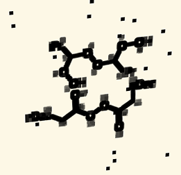 CC(C)C(OO)OOC(OO)C(C)C.CCCCCCCCCCCC(=O)OOC(=O)CCCCCCCCCCC